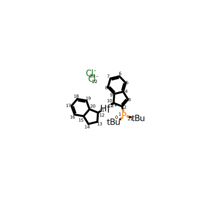 CC(C)(C)P(C1=Cc2ccccc2[CH]1[Hf+2][CH]1CCC2C=CC=CC21)C(C)(C)C.[Cl-].[Cl-]